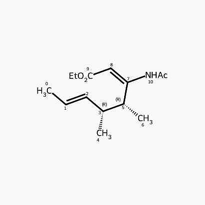 CC=C[C@@H](C)[C@@H](C)C(=CC(=O)OCC)NC(C)=O